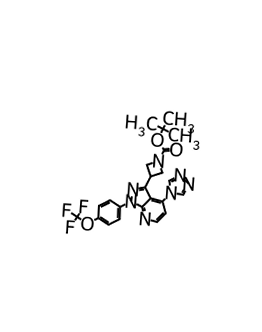 CC(C)(C)OC(=O)N1CC(c2nn(-c3ccc(OC(F)(F)F)cc3)c3nccc(-n4cnnc4)c23)C1